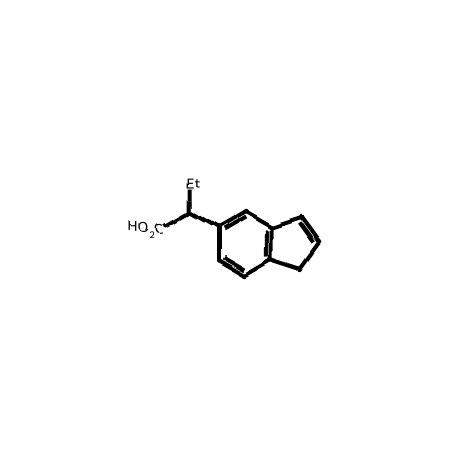 CCC(C(=O)O)c1ccc2c(c1)C=CC2